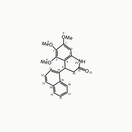 COc1cc2c(c(OC)c1OC)C(c1cccc3ccccc13)CC(=O)N2